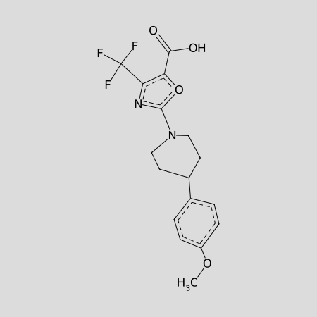 COc1ccc(C2CCN(c3nc(C(F)(F)F)c(C(=O)O)o3)CC2)cc1